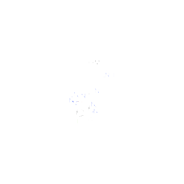 COCC1CC2(CCC(CN3CCC4(CC3)CN(c3ncnnc3Oc3ccc(F)cc3-c3cncnc3C3CC3)C4)CC2)NC1=O